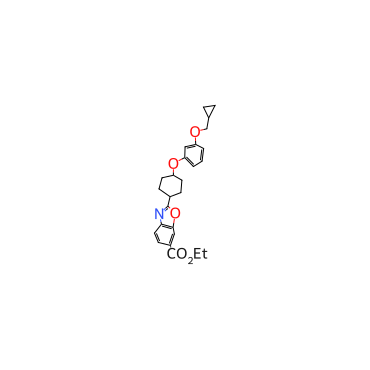 CCOC(=O)c1ccc2nc(C3CCC(Oc4cccc(OCC5CC5)c4)CC3)oc2c1